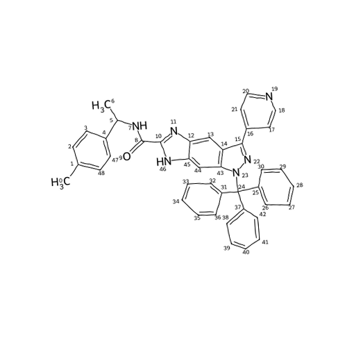 Cc1ccc(C(C)NC(=O)c2nc3cc4c(-c5ccncc5)nn(C(c5ccccc5)(c5ccccc5)c5ccccc5)c4cc3[nH]2)cc1